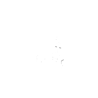 N[C@]1(C(=O)O)CN(S(=O)(=O)NCCO)C[C@H]1CCCB(O)O